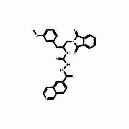 COc1cccc(CC(CN2C(=O)c3ccccc3C2=O)NC(=S)NNC(=O)c2ccc3cnccc3c2)c1